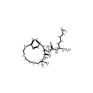 CC[C@H]1COCCCCOc2ccc(cc2)C[C@@H](NC(=O)NC(CCCCN)C(=O)O)C(=O)N1